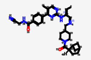 C/C=C(\C=N/CC1CCN(C(=O)[C@@H]2CCC3CC2C3)CC1)Nc1ncc(C)c(-c2ccc(C(=O)NCC#N)cc2)n1